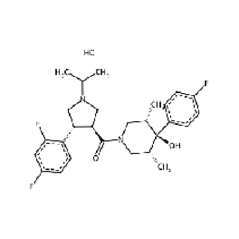 CC(C)N1C[C@@H](C(=O)N2C[C@@H](C)[C@@](O)(c3ccc(F)cc3)[C@@H](C)C2)[C@H](c2ccc(F)cc2F)C1.Cl